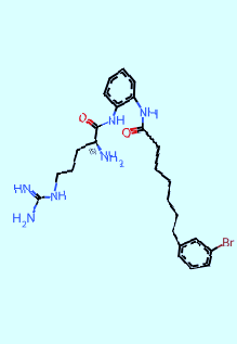 N=C(N)NCCC[C@H](N)C(=O)Nc1ccccc1NC(=O)CCCCCCc1cccc(Br)c1